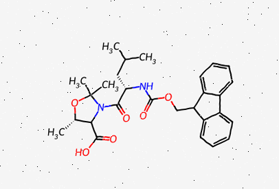 CC(C)C[C@H](NC(=O)OCC1c2ccccc2-c2ccccc21)C(=O)N1C(C(=O)O)[C@H](C)OC1(C)C